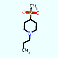 CCCN1CCC(S(C)(=O)=O)CC1